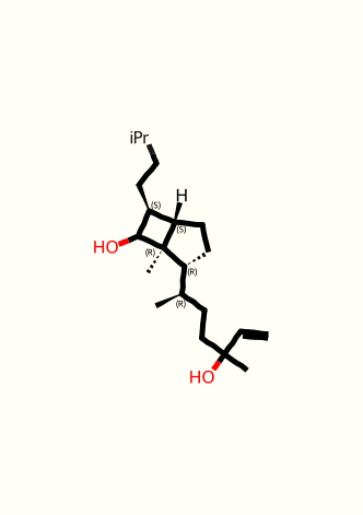 C=CC(C)(O)CC[C@@H](C)[C@H]1CC[C@H]2[C@H](CCC(C)C)C(O)[C@]12C